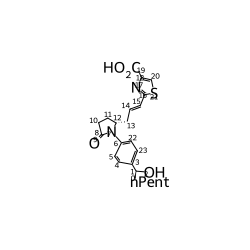 CCCCC[C@H](O)c1ccc(N2C(=O)CC[C@@H]2C/C=C/c2nc(C(=O)O)cs2)cc1